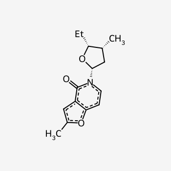 CC[C@H]1O[C@@H](n2ccc3oc(C)cc3c2=O)C[C@H]1C